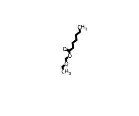 CCCCCCC(=O)OCOCC